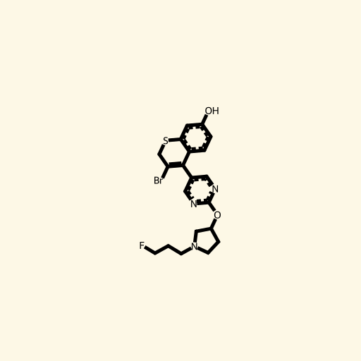 Oc1ccc2c(c1)SCC(Br)=C2c1cnc(OC2CCN(CCCF)C2)nc1